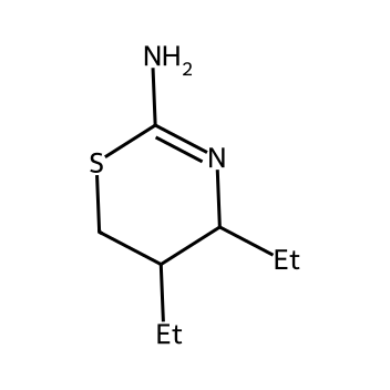 CCC1CSC(N)=NC1CC